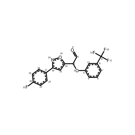 O=CC(Oc1cccc(C(F)(F)F)c1)c1cc(-c2ccc(F)cc2)no1